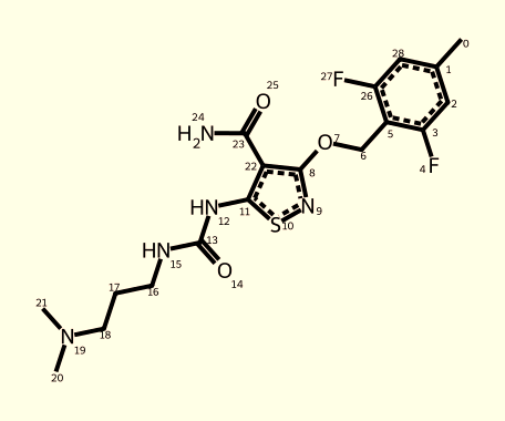 Cc1cc(F)c(COc2nsc(NC(=O)NCCCN(C)C)c2C(N)=O)c(F)c1